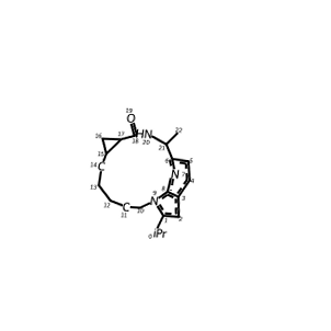 CC(C)c1cc2ccc3nc2n1CCCCCC1CC1C(=O)NC3C